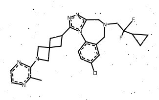 Cc1nccnc1N1CC2(CC(c3nnc4n3-c3ccc(Cl)cc3CN(CC(F)(F)C3CC3)C4)C2)C1